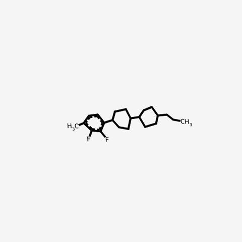 CCCC1CCC(C2CCC(c3ccc(C)c(F)c3F)CC2)CC1